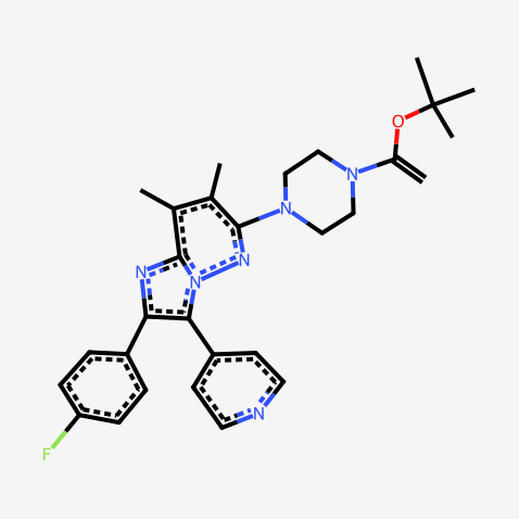 C=C(OC(C)(C)C)N1CCN(c2nn3c(-c4ccncc4)c(-c4ccc(F)cc4)nc3c(C)c2C)CC1